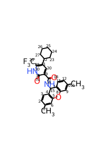 Cc1ccc2c(c1)Oc1cc(C)ccc1C2NC(=O)c1cc(C2CCCCC2)c(C(F)(F)F)[nH]c1=O